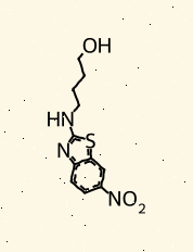 O=[N+]([O-])c1ccc2nc(NCCCCO)sc2c1